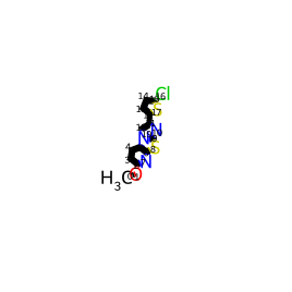 COc1ccc2c(n1)sc1nc(-c3ccc(Cl)s3)cn12